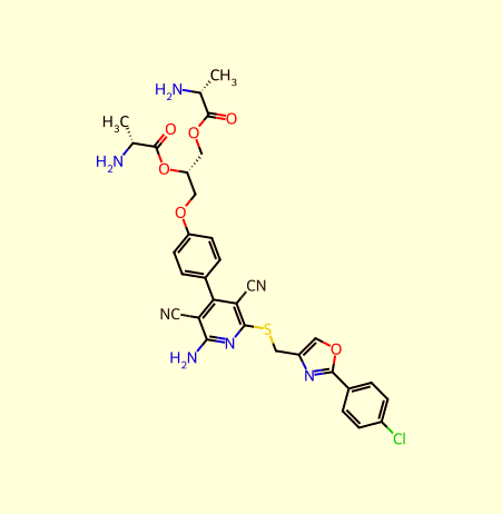 C[C@@H](N)C(=O)OC[C@H](COc1ccc(-c2c(C#N)c(N)nc(SCc3coc(-c4ccc(Cl)cc4)n3)c2C#N)cc1)OC(=O)[C@@H](C)N